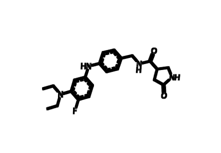 CCN(CC)c1cc(Nc2ccc(CNC(=O)C3CNC(=O)C3)cc2)ccc1F